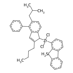 CCCCC1=Cc2c(ccc(CC(C)C)c2-c2ccccc2)[CH]1[Zr]([Cl])([Cl])[c]1cccc2c1[SiH2]c1ccccc1-2